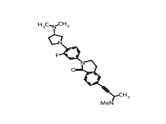 CNC(C)C#Cc1ccc2c(c1)CCN(c1ccc(N3CC[C@@H](N(C)C)C3)c(F)c1)C2=O